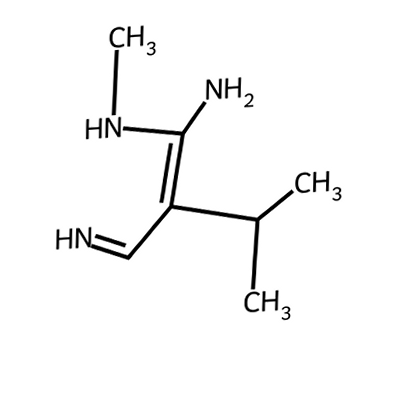 CN/C(N)=C(\C=N)C(C)C